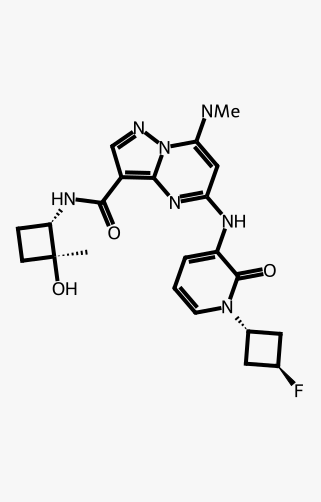 CNc1cc(Nc2cccn([C@H]3C[C@H](F)C3)c2=O)nc2c(C(=O)N[C@H]3CC[C@]3(C)O)cnn12